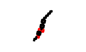 CCCCCCCCC1CCC(C2CCC(C(=O)Oc3ccc(OCCCC)cc3)CC2)CC1